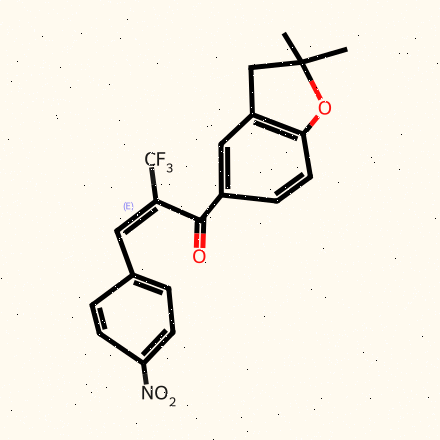 CC1(C)Cc2cc(C(=O)/C(=C\c3ccc([N+](=O)[O-])cc3)C(F)(F)F)ccc2O1